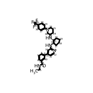 CCNC(=O)c1cccc(-c2ccnc(N[C@@H]3CCCC[C@H]3N[C@H]3CCCN(c4ccc(C(F)(F)F)cc4)C3)c2)c1